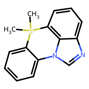 CS1(C)c2ccccc2-n2cnc3cccc1c32